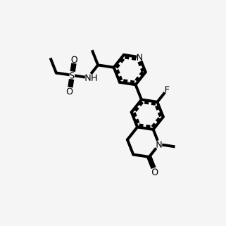 CCS(=O)(=O)NC(C)c1cncc(-c2cc3c(cc2F)N(C)C(=O)CC3)c1